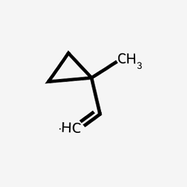 [CH]=CC1(C)CC1